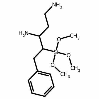 CO[Si](OC)(OC)C(Cc1ccccc1)C(N)CCN